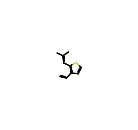 C=Cc1ccsc1C=C(C)C